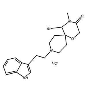 CCC1N(C)C(=O)COC12CCN(CCc1c[nH]c3ccccc13)CC2.Cl